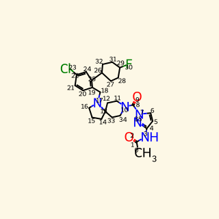 CC(=O)Nc1ccn(C(=O)N2CCC3(CCCN3Cc3ccc(Cl)cc3C3CCC(F)CC3)CC2)n1